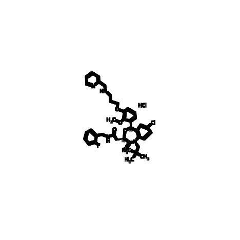 COc1c(OCCCNCc2ccccn2)cccc1[C@@H]1O[C@@H](CC(=O)NCc2ccccc2F)C(=O)N(CC(C)(C)C)c2ccc(Cl)cc21.Cl